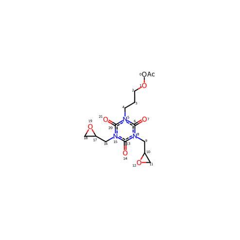 CC(=O)OOCCCn1c(=O)n(CC2CO2)c(=O)n(CC2CO2)c1=O